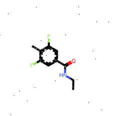 CCNC(=O)c1cc(F)c(C)c(F)c1